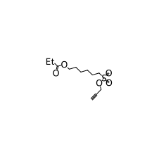 C#CCOS(=O)(=O)CCCCCCOC(=O)CC